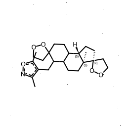 Cc1noc(C)c1CC1C2CC[C@@]3(C)[C@@H](CC[C@@]34CCOO4)C2CCC12CCOO2